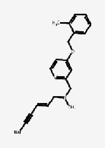 Cc1ccccc1COc1ccnc(CN(C)CC=CC#CC(C)(C)C)c1